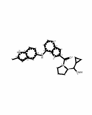 COC(C1CC1)[C@H]1CCCN1C(=O)c1cc2nccc(Nc3ccc4[nH]c(C)cc4c3)c2s1